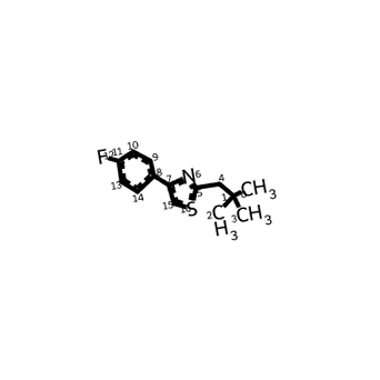 CC(C)(C)Cc1nc(-c2ccc(F)cc2)cs1